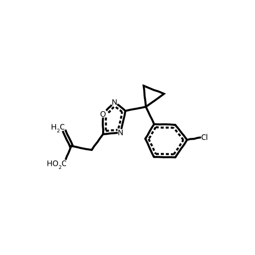 C=C(Cc1nc(C2(c3cccc(Cl)c3)CC2)no1)C(=O)O